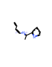 C=C/C=C\N=C(/C)c1ccccn1